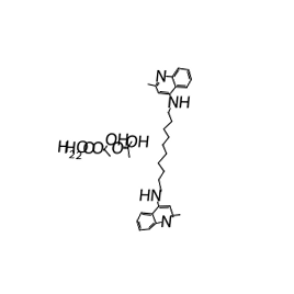 CC(=O)O.CC(=O)O.Cc1cc(NCCCCCCCCCCNc2cc(C)nc3ccccc23)c2ccccc2n1.O.O